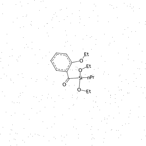 CCC[Si](OCC)(OCC)C(=O)c1ccccc1OCC